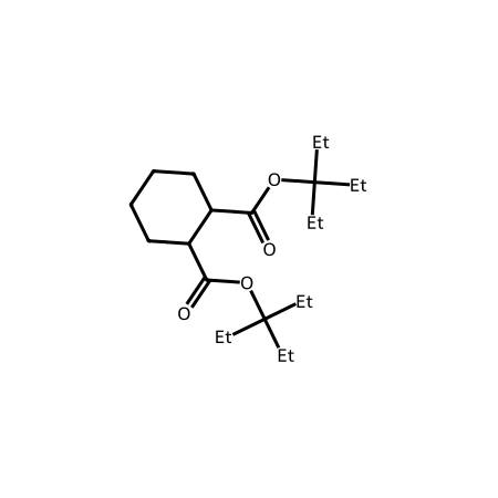 CCC(CC)(CC)OC(=O)C1CCCCC1C(=O)OC(CC)(CC)CC